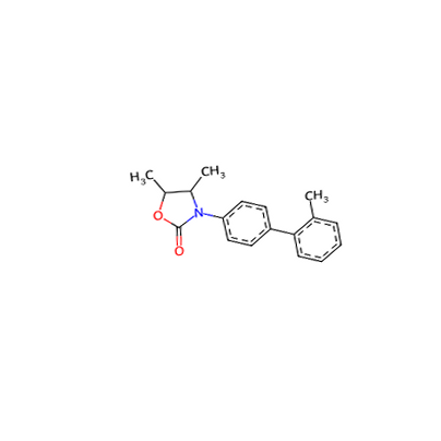 Cc1ccccc1-c1ccc(N2C(=O)OC(C)C2C)cc1